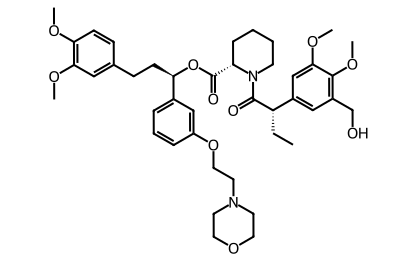 CC[C@H](C(=O)N1CCCC[C@H]1C(=O)O[C@H](CCc1ccc(OC)c(OC)c1)c1cccc(OCCN2CCOCC2)c1)c1cc(CO)c(OC)c(OC)c1